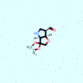 COC1(OC)CO[C@@H]2[C@H](C=O)CN[C@@H]21